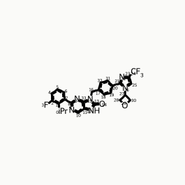 CC(C)c1c(F)cccc1-c1ncc2[nH]c(=O)n(Cc3ccc(-c4nc(C(F)(F)F)cn4C4COC4)cc3)c2n1